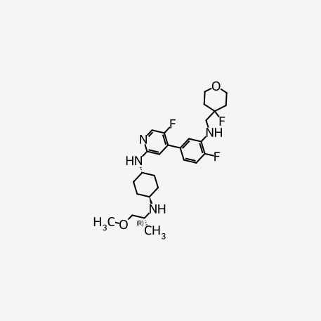 COC[C@@H](C)N[C@H]1CC[C@H](Nc2cc(-c3ccc(F)c(NCC4(F)CCOCC4)c3)c(F)cn2)CC1